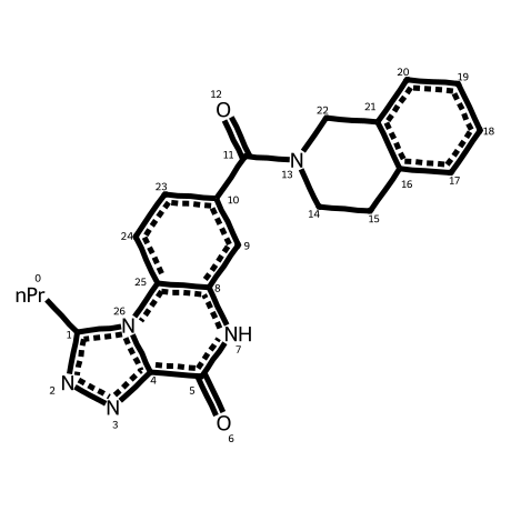 CCCc1nnc2c(=O)[nH]c3cc(C(=O)N4CCc5ccccc5C4)ccc3n12